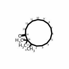 CC1CCCCCCCCCCCCC(=O)C1(C)C